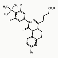 CC(C)c1ccc2c(n1)CCN(C(=O)CCCC(=O)O)C2C(=O)Nc1cc(F)c([Si](C)(C)C)c(F)c1